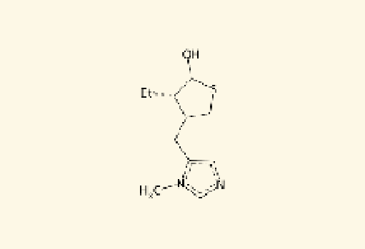 CC[C@H]1C(Cc2cncn2C)CSC1O